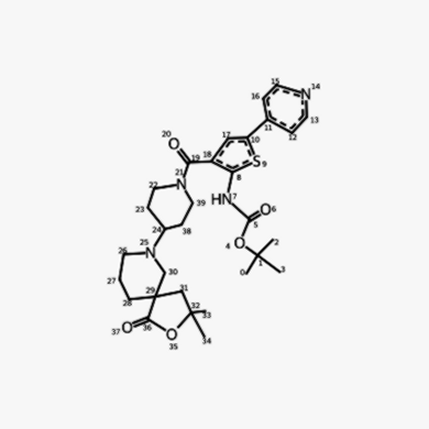 CC(C)(C)OC(=O)Nc1sc(-c2ccncc2)cc1C(=O)N1CCC(N2CCCC3(C2)CC(C)(C)OC3=O)CC1